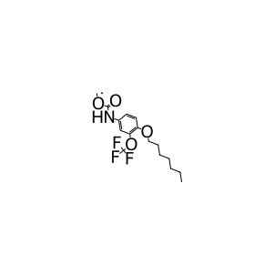 [CH2]OC(=O)Nc1ccc(OCCCCCCC)c(OC(F)(F)F)c1